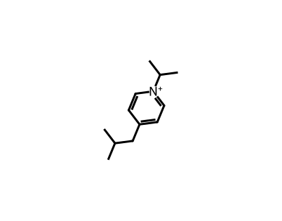 CC(C)Cc1cc[n+](C(C)C)cc1